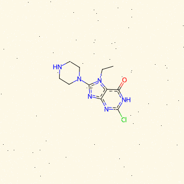 CCn1c(N2CCNCC2)nc2nc(Cl)[nH]c(=O)c21